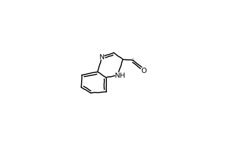 O=[C]C1C=Nc2ccccc2N1